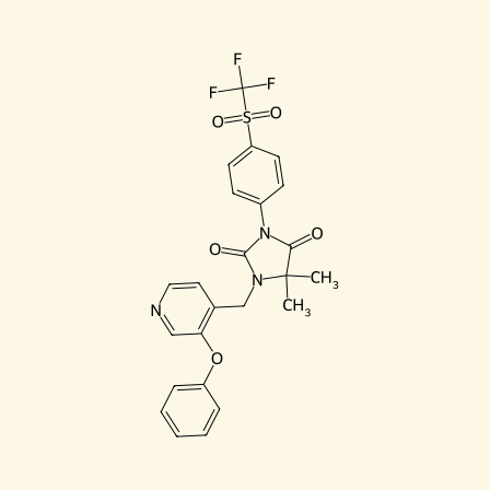 CC1(C)C(=O)N(c2ccc(S(=O)(=O)C(F)(F)F)cc2)C(=O)N1Cc1ccncc1Oc1ccccc1